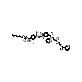 CCCCCCOC(=O)/N=C(\N)c1ccc(NCc2nc3cc(C(=O)N(CCC(=O)OCCOC(=O)c4cccnc4)c4ccccn4)ccc3n2C)cc1